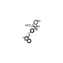 CCOC(=O)C1CCNCC1NS(=O)(=O)c1ccc(OCc2cc(C)nc3ccccc23)cc1